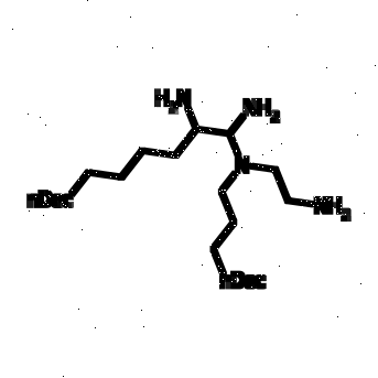 CCCCCCCCCCCCCCC(N)C(N)N(CCN)CCCCCCCCCCCCC